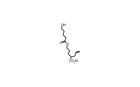 C=CCC(CCCOC(=O)CCCCO)C(=O)OCC